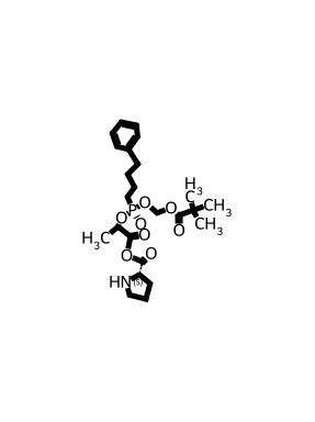 CC(OP(=O)(CCCCc1ccccc1)OCOC(=O)C(C)(C)C)C(=O)OC(=O)[C@@H]1CCCN1